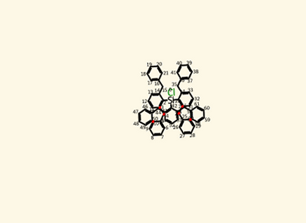 Cl[Si](c1c(Cc2ccccc2)cccc1Cc1ccccc1)(c1c(Cc2ccccc2)cccc1Cc1ccccc1)c1c(Cc2ccccc2)cccc1Cc1ccccc1